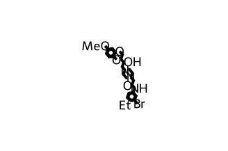 CCc1ccc(NC(=O)CN2CCN(CC(O)C3COc4cc(OC)ccc4O3)CC2)cc1Br